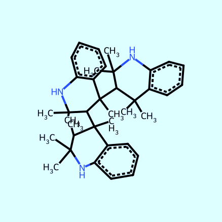 CC1C(C)(C)Nc2ccccc2C1(C)C1C(C)(C)Nc2ccccc2C1(C)C1C(C)(C)Nc2ccccc2C1(C)C